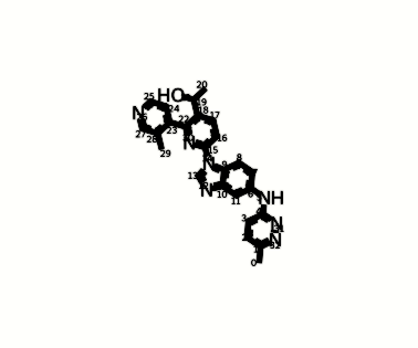 Cc1ccc(Nc2ccc3c(c2)ncn3-c2ccc(C(C)O)c(-c3ccncc3C)n2)nn1